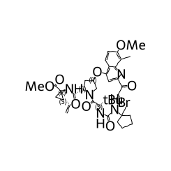 C=C[C@@H]1C[C@]1(NC(=O)[C@@H]1C[C@@H](Oc2cc(C(=O)CBr)nc3c(C)c(OC)ccc23)CN1C(=O)[C@@H](NC(=O)NC1(C)CCCC1)C(C)(C)C)C(=O)OC